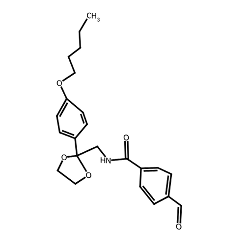 CCCCCOc1ccc(C2(CNC(=O)c3ccc(C=O)cc3)OCCO2)cc1